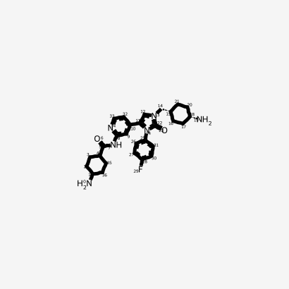 NC1CCC(C(=O)Nc2cc(-c3cn(C[C@H]4CC[C@@H](N)CC4)c(=O)n3-c3ccc(F)cc3)ccn2)CC1